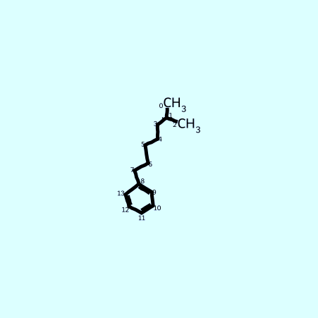 C[C](C)CCCCCc1ccccc1